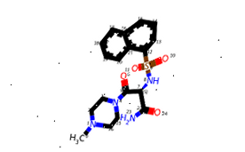 CN1CCN(C(=O)[C@@H](NS(=O)(=O)c2cccc3ccccc23)C(N)=O)CC1